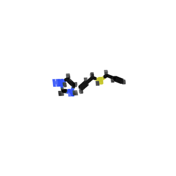 C#CCSCC#C.c1c[nH]cn1